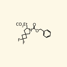 CCOC(=O)[C@@H]1CC2(CN1C(=O)OCc1ccccc1)CC(F)(F)C2